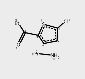 CCC(=O)c1ccc(Cl)s1.CCCN